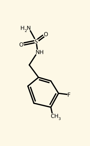 Cc1ccc(CNS(N)(=O)=O)cc1F